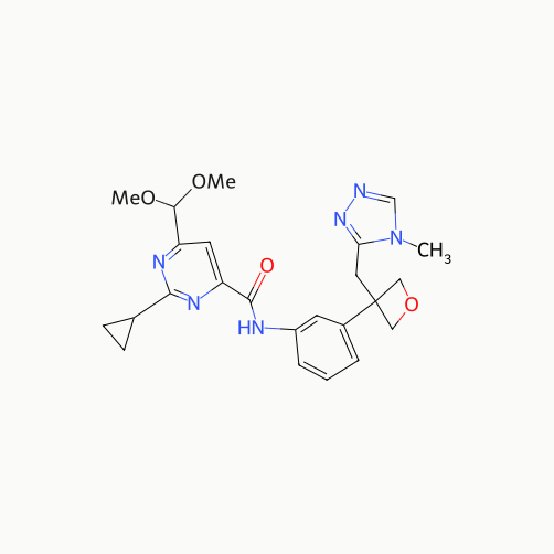 COC(OC)c1cc(C(=O)Nc2cccc(C3(Cc4nncn4C)COC3)c2)nc(C2CC2)n1